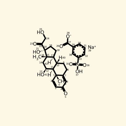 C[C@]12C=CC(=O)C=C1CC[C@@H]1[C@@H]2[C@@H](O)C[C@@]2(C)[C@H]1CC[C@]2(O)C(=O)CO.O=C([O-])c1cccc(S(=O)(=O)O)c1.[Na+]